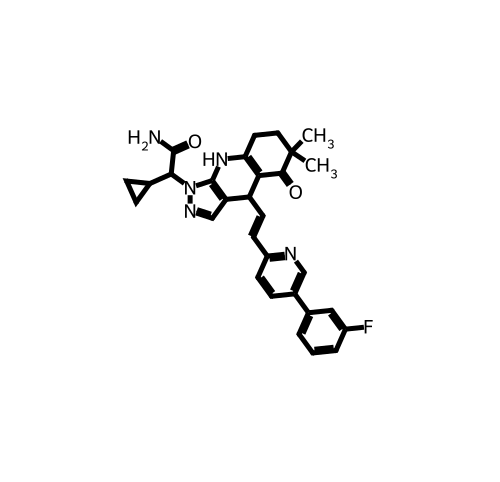 CC1(C)CCC2=C(C1=O)C(C=Cc1ccc(-c3cccc(F)c3)cn1)c1cnn(C(C(N)=O)C3CC3)c1N2